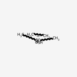 CCCCCCCCCCOP(=O)(S)SCCCCCCCCCC.CCC[CH2][Sn][CH2]CCC